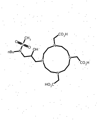 CCCCN(CC(O)CN1CCN(CC(=O)O)CCN(CC(=O)O)CCN(CC(=O)O)CC1)S(C)(=O)=O